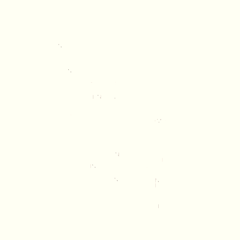 COc1cc(C(=O)NC(C)C)ccc1Oc1nc(Nc2ccc(OCCCN3CCN(C)CC3)c(F)c2)ncc1C(=O)Nc1c(C)cccc1C